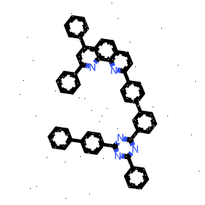 c1ccc(-c2ccc(-c3nc(-c4ccccc4)nc(-c4cccc(-c5ccc(-c6ccc7ccc8c(-c9ccccc9)cc(-c9ccccc9)nc8c7n6)cc5)c4)n3)cc2)cc1